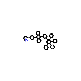 C1=CC(c2c(-c3ccccc3)cc(-c3cccc(-c4c5ccccc5c(-c5ccc(-c6ccccn6)cc5)c5ccccc45)c3)c(-c3ccccc3)c2-c2ccccc2)=CCC1